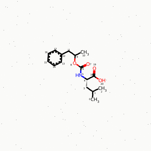 CC(C)C[C@H](NC(=O)OC(C)Cc1ccccc1)C(=O)O